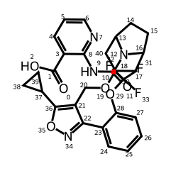 O=C(O)c1cccnc1NC(=O)N1C2CCC1CC(OCc1c(-c3ccccc3OC(F)(F)F)noc1C1CC1)C2